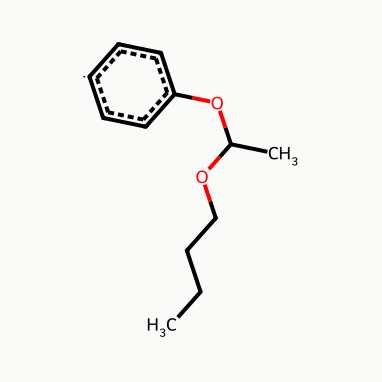 CCCCOC(C)Oc1cc[c]cc1